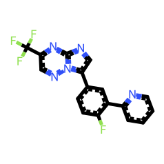 Fc1ccc(-c2cnc3nc(C(F)(F)F)cnn23)cc1-c1ccccn1